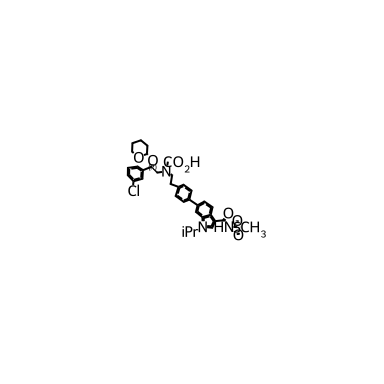 CC(C)n1cc(C(=O)NS(C)(=O)=O)c2ccc(-c3ccc(CCN(C[C@H](OC4CCCCO4)c4cccc(Cl)c4)C(=O)O)cc3)cc21